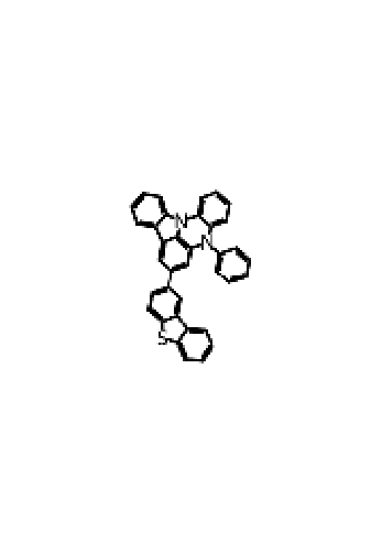 c1ccc(N2c3ccccc3-n3c4ccccc4c4cc(-c5ccc6sc7ccccc7c6c5)cc2c43)cc1